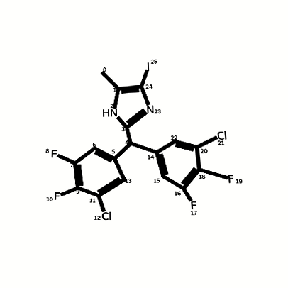 Cc1[nH]c(C(c2cc(F)c(F)c(Cl)c2)c2cc(F)c(F)c(Cl)c2)nc1I